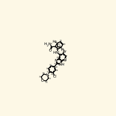 NC(=O)C1C(Nc2c(Br)cnc3[nH]c(-c4ccc(N5CCOCC5)c(Cl)c4)nc23)[C@H]2C=C[C@@H]1C2